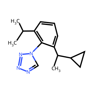 CC(C)c1cccc(C(C)C2CC2)c1-n1cnnn1